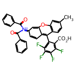 Cc1ccc2c(-c3c(F)c(F)c(F)c(F)c3C(=O)O)c3ccc(=[N+](C(=O)c4ccccc4)C(=O)c4ccccc4)cc-3oc2c1